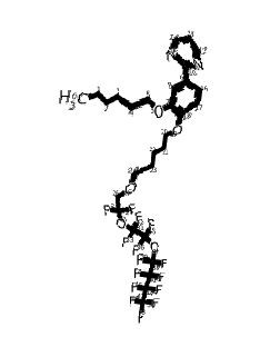 CCCCCCOc1cc(-c2ncccn2)ccc1OCCCCCOCC(F)(F)OC(F)(F)C(F)(F)OC(F)(F)C(F)(F)C(F)(F)C(F)(F)F